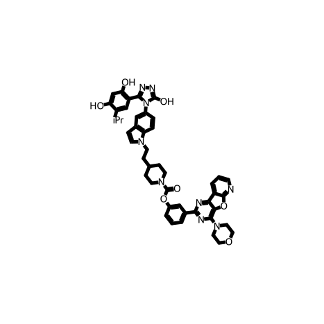 CC(C)c1cc(-c2nnc(O)n2-c2ccc3c(ccn3CCC3CCN(C(=O)Oc4cccc(-c5nc(N6CCOCC6)c6oc7ncccc7c6n5)c4)CC3)c2)c(O)cc1O